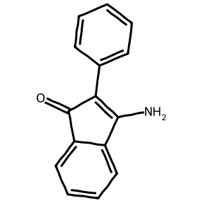 NC1=C(c2ccccc2)C(=O)c2ccccc21